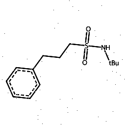 CC(C)(C)NS(=O)(=O)CCCc1ccccc1